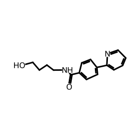 O=C(NCCCCO)c1ccc(-c2ccccn2)cc1